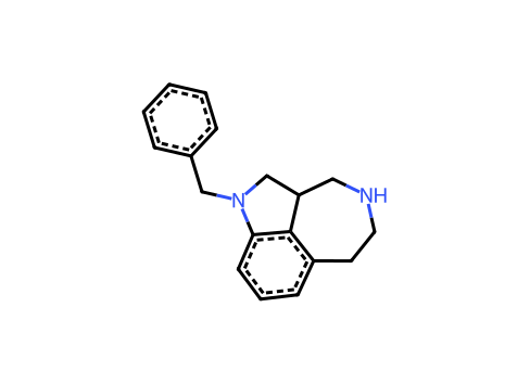 c1ccc(CN2CC3CNCCc4cccc2c43)cc1